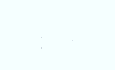 CCC(CC1CN1)C[Si](CC)(CC)CC